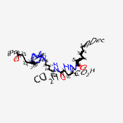 CCCCCCCCCCCCCCCC(=O)N[C@@H](CCC(=O)N[C@@H](CCCCn1cnc(CCC(=O)C(C)C)c1)C(=O)O)C(=O)O